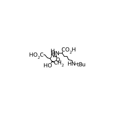 C=C(O)C(CCC(=O)O)NC(=O)NC(CCCCNC(C)(C)C)C(=O)O